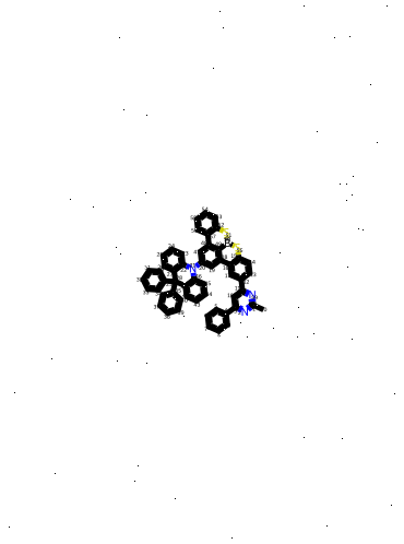 Cc1nc(-c2ccccc2)cc(-c2ccc3c(c2)-c2cc(N4c5ccccc5C(c5ccccc5)(c5ccccc5)c5ccccc54)cc4c2B(Sc2ccccc2-4)S3)n1